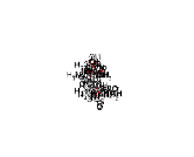 CCCC[C@@H](C(=O)N(C)[C@@H](CCCC)C(=O)N[C@@H](CN)C(=O)N[C@@H](CSCC(=O)N[C@@H](Cc1ccc(O)cc1)C(=O)N(C)[C@@H](C)C(=O)N[C@@H](CC(N)=O)C(=O)N1CCC[C@H]1C(=O)N[C@@H](CN)C(=O)N[C@@H](CC(C)C)C(=O)N1C[C@H](O)C[C@H]1C(C)=O)C(=O)NCC(N)=O)N(C)C(=O)[C@H](Cc1csc2ccccc12)NC(=O)[C@H](CCN)NC(=O)[C@@H](N)Cc1c[nH]c2ccccc12